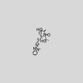 C=C(C(=O)O)N1C(=O)[C@H]([C@@H](C)O)[C@H]1SCSC1CN(c2nc3ccccc3n2C)C1